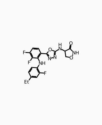 CCc1ccc(Nc2c(-c3nnc(NC4CONC4=O)o3)ccc(F)c2F)c(F)c1